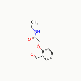 CCNC(=O)COc1ccccc1C=O